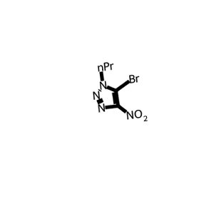 CCCn1nnc([N+](=O)[O-])c1Br